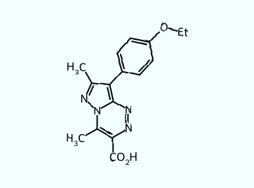 CCOc1ccc(-c2c(C)nn3c(C)c(C(=O)O)nnc23)cc1